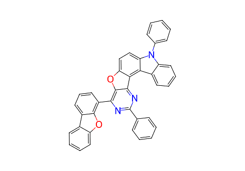 c1ccc(-c2nc(-c3cccc4c3oc3ccccc34)c3oc4ccc5c(c6ccccc6n5-c5ccccc5)c4c3n2)cc1